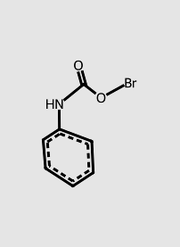 O=C(Nc1ccccc1)OBr